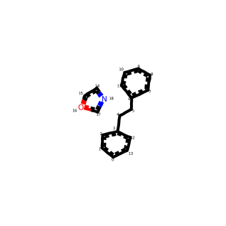 c1ccc(CCc2ccccc2)cc1.c1cocn1